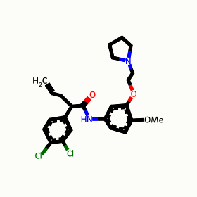 C=CCC(C(=O)Nc1ccc(OC)c(OCCN2CCCC2)c1)c1ccc(Cl)c(Cl)c1